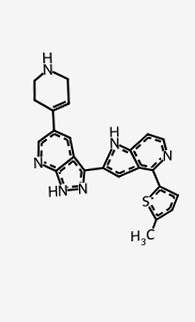 Cc1ccc(-c2nccc3[nH]c(-c4n[nH]c5ncc(C6=CCNCC6)cc45)cc23)s1